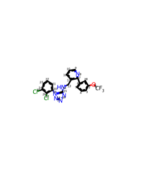 FC(F)(F)Oc1cccc(-c2ncccc2CNc2nnnn2-c2cccc(Cl)c2Cl)c1